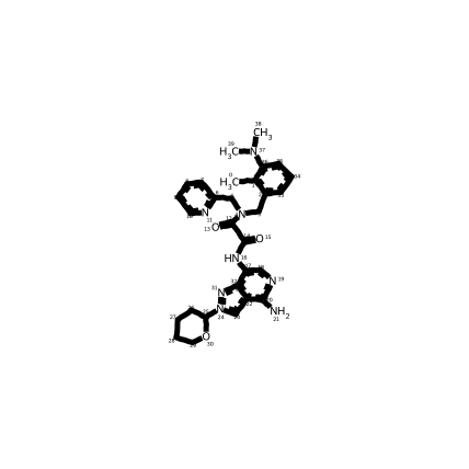 Cc1c(CN(Cc2ccccn2)C(=O)C(=O)Nc2cnc(N)c3cn(C4CCCCO4)nc23)cccc1N(C)C